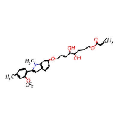 C=CC(=O)OCCCC(O)C(O)CCCOc1ccc2cc(-c3ccc(C)cc3OC(F)(F)F)n(C)c2c1